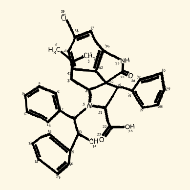 CC(C)CC1N(C(c2ccccc2)C(O)c2ccccc2)C(C(=O)O)C(c2ccccc2)C12C(=O)Nc1cc(Cl)ccc12